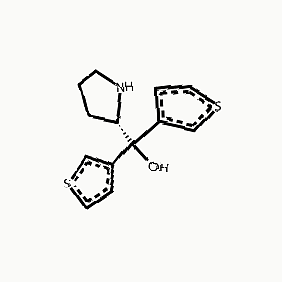 OC(c1ccsc1)(c1ccsc1)[C@@H]1CCCN1